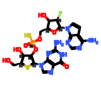 Nc1nc2c(ncn2[C@@H]2S[C@H](CO)[C@@H](O)[C@H]2O[P@](=O)(S)OC[C@H]2O[C@@H](n3ccc4c(N)ncnc43)[C@@H](F)C2O)c(=O)[nH]1